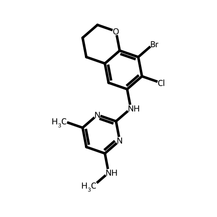 CNc1cc(C)nc(Nc2cc3c(c(Br)c2Cl)OCCC3)n1